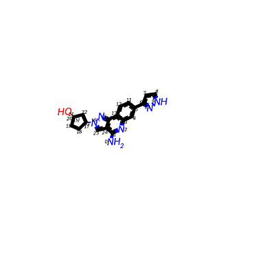 Nc1nc2cc(-c3cc[nH]n3)ccc2c2nn([C@@H]3CC[C@H](O)C3)cc12